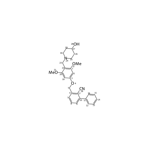 COc1cc(OCc2cccc(-c3ccccc3)c2C#N)cc(OC)c1CN1CCC(O)CC1